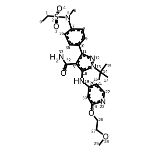 CCS(=O)(=O)N(C)c1ccc(-c2nn(C(C)(C)C)c(Nc3ccnc(OCCOC)c3)c2C(N)=O)cc1